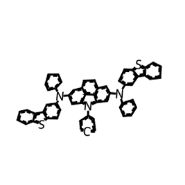 c1ccc(N(c2ccc3sc4ccccc4c3c2)c2cc3ccc4cc(N(c5ccccc5)c5ccc6sc7ccccc7c6c5)cc5c4c3c(c2)n5-c2ccccc2)cc1